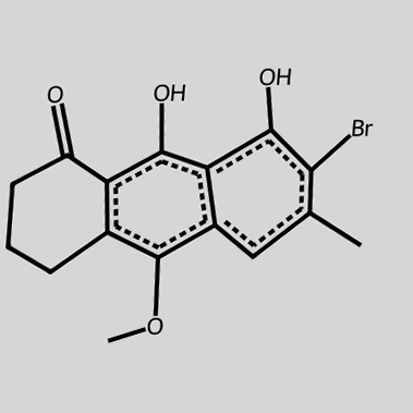 COc1c2c(c(O)c3c(O)c(Br)c(C)cc13)C(=O)CCC2